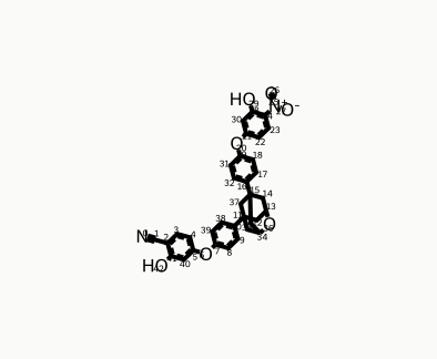 N#Cc1ccc(Oc2ccc(C34CC5CC(c6ccc(Oc7ccc([N+](=O)[O-])c(O)c7)cc6)(CC(C3)O5)C4)cc2)cc1O